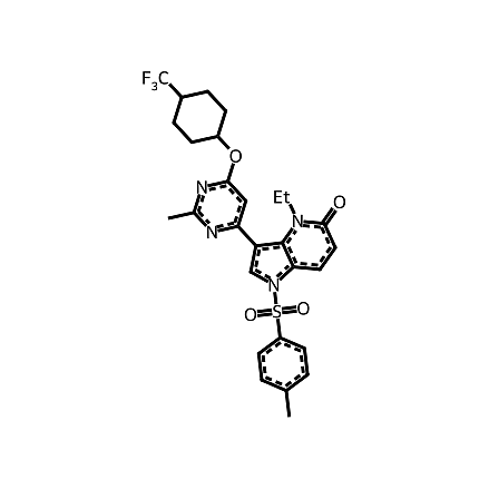 CCn1c(=O)ccc2c1c(-c1cc(OC3CCC(C(F)(F)F)CC3)nc(C)n1)cn2S(=O)(=O)c1ccc(C)cc1